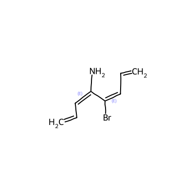 C=C/C=C(N)\C(Br)=C/C=C